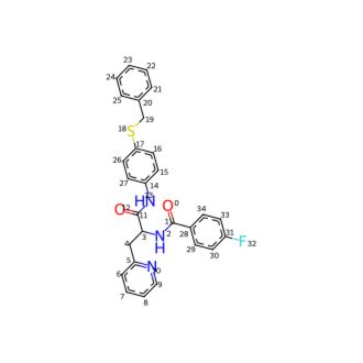 O=C(NC(Cc1ccccn1)C(=O)Nc1ccc(SCc2ccccc2)cc1)c1ccc(F)cc1